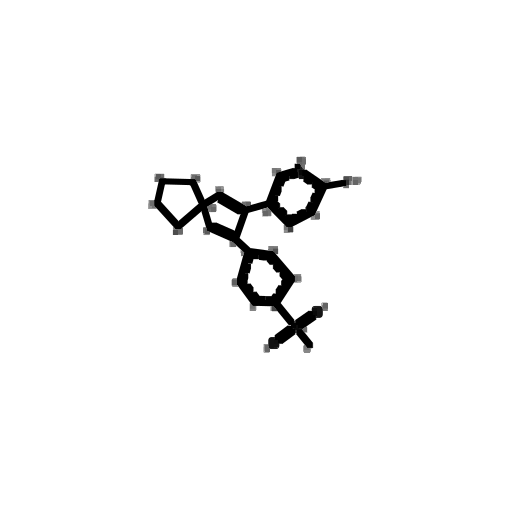 CS(=O)(=O)c1ccc(C2=CC3(C=C2c2ccc(F)nc2)CCCC3)cc1